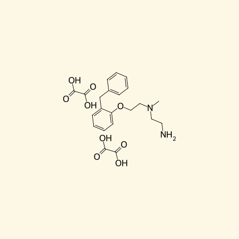 CN(CCN)CCOc1ccccc1Cc1ccccc1.O=C(O)C(=O)O.O=C(O)C(=O)O